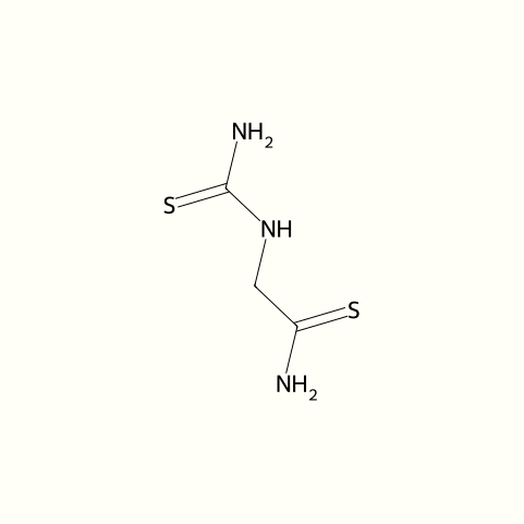 NC(=S)CNC(N)=S